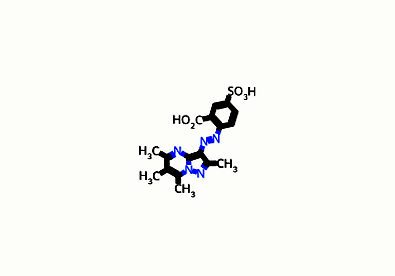 Cc1nc2c(/N=N/c3ccc(S(=O)(=O)O)cc3C(=O)O)c(C)nn2c(C)c1C